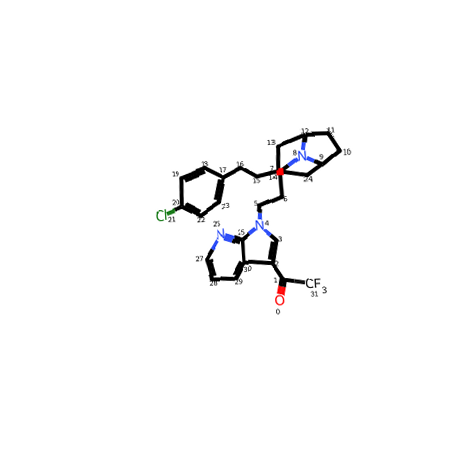 O=C(c1cn(CCCN2C3CCC2CC(CCc2ccc(Cl)cc2)C3)c2ncccc12)C(F)(F)F